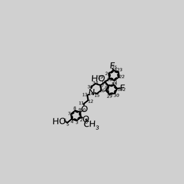 COc1cc(CO)ccc1OCCCN1CCC(C(O)(c2cccc(F)c2)c2cccc(F)c2)CC1